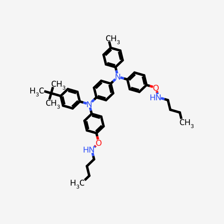 CCCCNOc1ccc(N(c2ccc(C)cc2)c2ccc(N(c3ccc(ONCCCC)cc3)c3ccc(C(C)(C)C)cc3)cc2)cc1